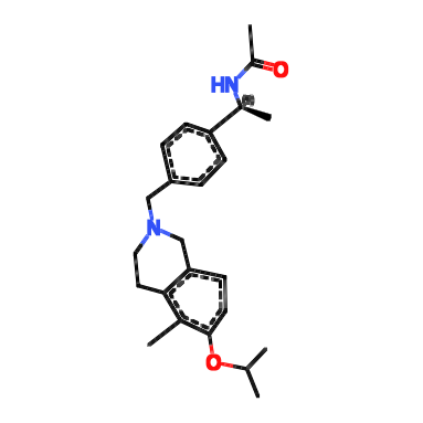 CC(=O)N[C@@H](C)c1ccc(CN2CCc3c(ccc(OC(C)C)c3C)C2)cc1